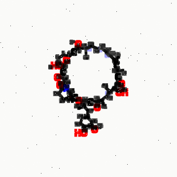 CO[C@H]1CC2CC[C@@H](C)[C@](O)(CC(=O)C(=O)N3CCCC[C@H]3CO[C@H]([C@H](C)C[C@@H]3CC[C@@H](O)[C@H](OC)C3)CC(=O)[C@H](C)/C=C(\C)[C@@H](O)[C@@H](OC)C[C@H](C)C[C@H](C)/C=C/C=C/C=C/1C)O2